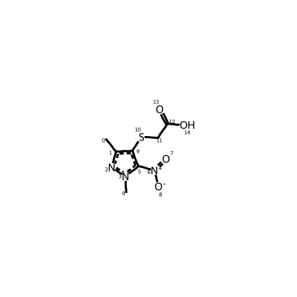 Cc1nn(C)c([N+](=O)[O-])c1SCC(=O)O